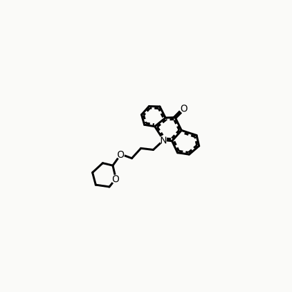 O=c1c2ccccc2n(CCCOC2CCCCO2)c2ccccc12